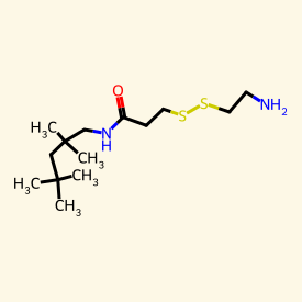 CC(C)(C)CC(C)(C)CNC(=O)CCSSCCN